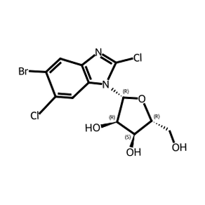 OC[C@H]1O[C@@H](n2c(Cl)nc3cc(Br)c(Cl)cc32)[C@H](O)[C@@H]1O